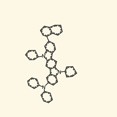 c1ccc(N(c2ccccc2)c2ccc3c(c2)c2cc4c(cc2n3-c2ccccc2)c2ccc(-c3cccc5ccccc35)cc2n4-c2ccccc2)cc1